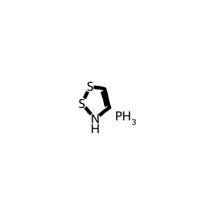 C1=CSSN1.P